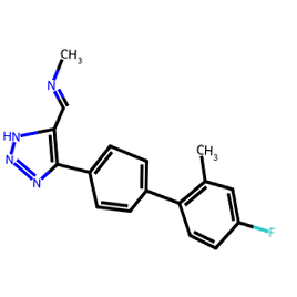 C/N=C/c1[nH]nnc1-c1ccc(-c2ccc(F)cc2C)cc1